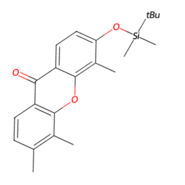 Cc1ccc2c(=O)c3ccc(O[Si](C)(C)C(C)(C)C)c(C)c3oc2c1C